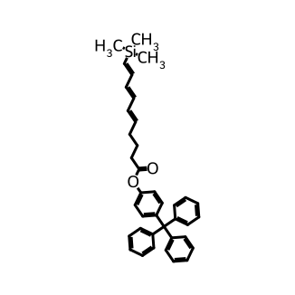 C[Si](C)(C)/C=C/C=C/C=C/CCCC(=O)Oc1ccc(C(c2ccccc2)(c2ccccc2)c2ccccc2)cc1